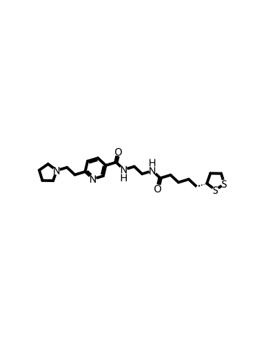 O=C(CCCC[C@@H]1CCSS1)NCCNC(=O)c1ccc(CCN2CCCC2)nc1